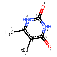 Cc1[nH]c(=O)[nH]c(=O)c1C(C)(C)C